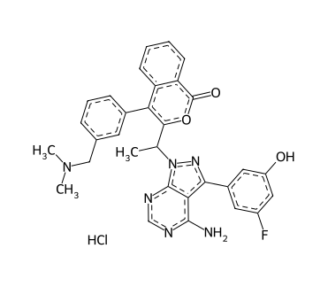 CC(c1oc(=O)c2ccccc2c1-c1cccc(CN(C)C)c1)n1nc(-c2cc(O)cc(F)c2)c2c(N)ncnc21.Cl